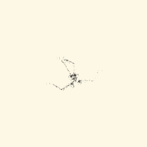 CCCCCCCC/C=C\CCCCCCCC(=O)OCC(COC(=O)CCCCCCC/C=C\CCCCCCCC)(COC(=O)CCCCCCC/C=C\CCCCCCCC)COC(=O)CCCCCCCCCCCCC